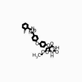 CCOCCC1(Oc2ccc(Oc3ccc(-c4nc(-c5ccccc5F)no4)cc3)cc2)C(=O)NC(=O)NC1=O